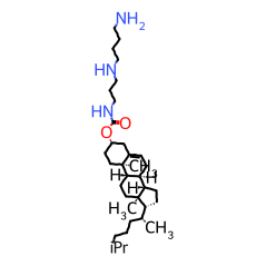 CC(C)CCC[C@@H](C)[C@H]1CC[C@H]2[C@@H]3CC=C4C[C@@H](OC(=O)NCCCNCCCCN)CC[C@]4(C)[C@H]3CC[C@]12C